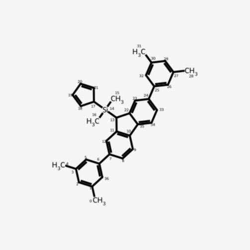 Cc1cc(C)cc(-c2ccc3c(c2)C([Si](C)(C)C2C=CC=C2)c2cc(-c4cc(C)cc(C)c4)ccc2-3)c1